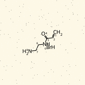 Br.C=CC(=O)NCCN